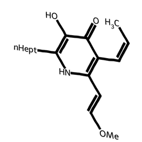 C/C=C\c1c(/C=C/OC)[nH]c(CCCCCCC)c(O)c1=O